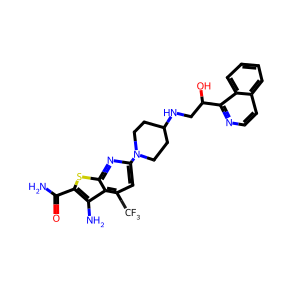 NC(=O)c1sc2nc(N3CCC(NCC(O)c4nccc5ccccc45)CC3)cc(C(F)(F)F)c2c1N